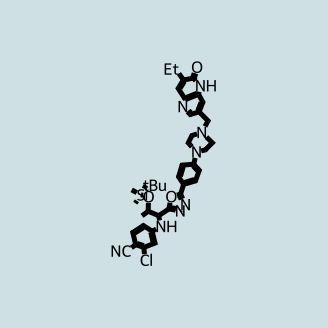 CCc1cc2ncc(CN3CCN(c4ccc(-c5nnc(C(Nc6ccc(C#N)c(Cl)c6)C(C)O[Si](C)(C)C(C)(C)C)o5)cc4)CC3)cc2[nH]c1=O